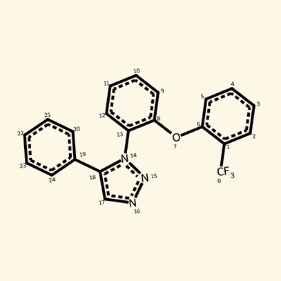 FC(F)(F)c1ccccc1Oc1ccccc1-n1nncc1-c1ccccc1